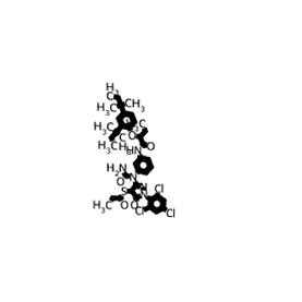 CCC(=O)SC1C(=O)N(c2c(Cl)cc(Cl)cc2Cl)N=C1N(C(N)=O)c1cccc(NC(=O)C(CC)Oc2ccc(C(C)(C)CC)cc2C(C)(C)CC)c1